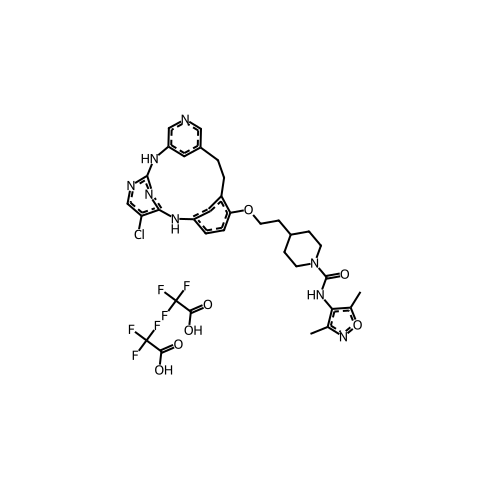 Cc1noc(C)c1NC(=O)N1CCC(CCOc2ccc3cc2CCc2cncc(c2)Nc2ncc(Cl)c(n2)N3)CC1.O=C(O)C(F)(F)F.O=C(O)C(F)(F)F